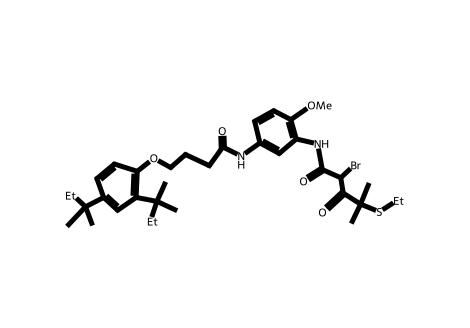 CCSC(C)(C)C(=O)C(Br)C(=O)Nc1cc(NC(=O)CCCOc2ccc(C(C)(C)CC)cc2C(C)(C)CC)ccc1OC